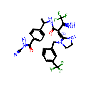 CC(NC(=O)/C(C(=N)C(F)(F)F)=C1/NCCN1Cc1cccc(C(F)(F)F)c1)c1ccc(C(=O)NC#N)cc1